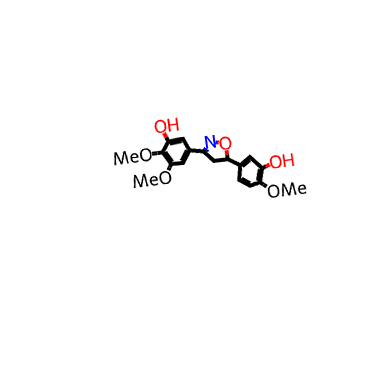 COc1ccc(C2CC(c3cc(O)c(OC)c(OC)c3)=NO2)cc1O